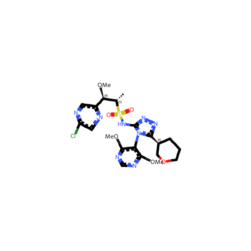 COc1ncnc(OC)c1-n1c(NS(=O)(=O)[C@@H](C)[C@H](OC)c2cnc(Cl)cn2)nnc1[C@H]1CCCOC1